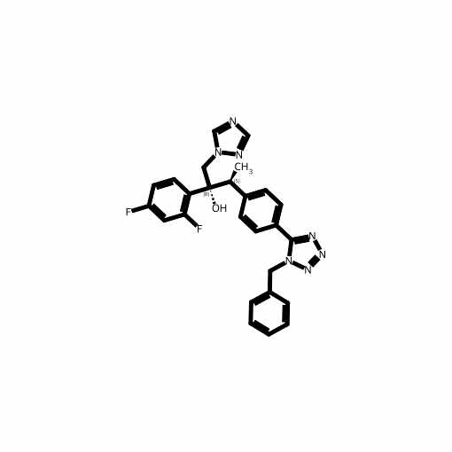 C[C@@H](c1ccc(-c2nnnn2Cc2ccccc2)cc1)[C@](O)(Cn1cncn1)c1ccc(F)cc1F